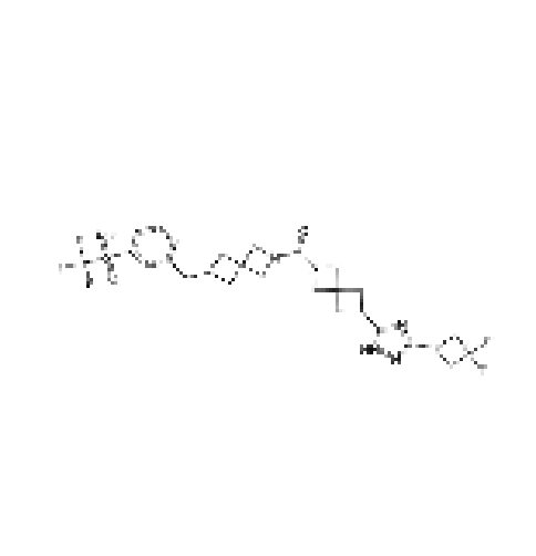 N=S(=O)(c1cccc(CC2CC3(C2)CN(C(=O)N2CC4(CC(c5nc(C6CC(F)(F)C6)n[nH]5)C4)C2)C3)c1)C(F)(F)F